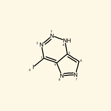 Ic1nn[nH]c2cnnc1-2